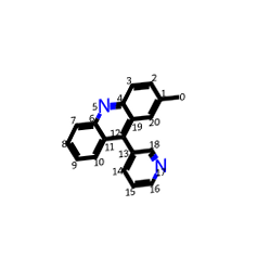 Cc1ccc2nc3ccccc3c(-c3cccnc3)c2c1